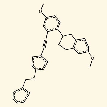 COc1ccc(C2CCc3cc(OC)ccc3C2)c(C#Cc2ccc(OCc3ccccc3)cc2)c1